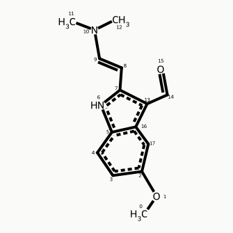 COc1ccc2[nH]c(C=CN(C)C)c(C=O)c2c1